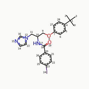 CC(C)(C)c1ccc(OCC(Cn2ccnc2)NC(=O)c2ccc(I)cc2)cc1